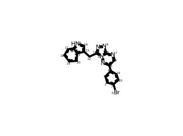 Brc1ccc(-c2cnc3nnc(Cc4c[nH]c5ccccc45)n3n2)cc1